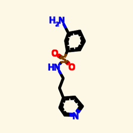 Nc1cccc(S(=O)(=O)NCCc2ccncc2)c1